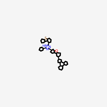 c1ccc(C2N=C(c3ccc4c(c3)oc3ccc(-c5ccc6c7ccccc7c7ccccc7c6c5)cc34)N=C(c3cccc4sc5ccccc5c34)N2)cc1